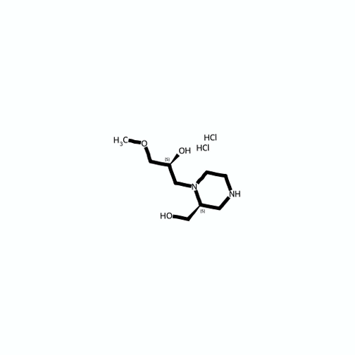 COC[C@@H](O)CN1CCNC[C@H]1CO.Cl.Cl